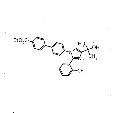 CCOC(=O)c1ccc(-c2ccc(-n3cc(C(C)(C)O)nc3-c3ccccc3C(F)(F)F)cc2)cc1